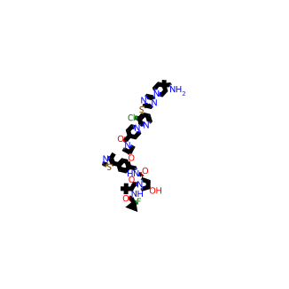 Cc1ncsc1-c1ccc(CNC(=O)[C@@H]2C[C@@H](O)CN2C(=O)[C@@H](NC(=O)C2(F)CC2)C(C)(C)C)c(OC2CN(C(=O)C3CCN(c4nccc(Sc5cnc(N6CCC(C)(CN)CC6)cn5)c4Cl)CC3)C2)c1